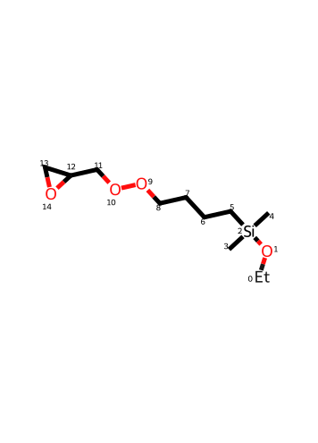 CCO[Si](C)(C)CCCCOOCC1CO1